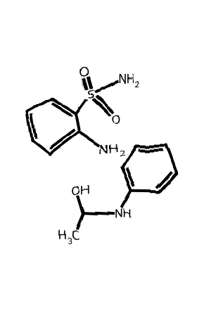 CC(O)Nc1ccccc1.Nc1ccccc1S(N)(=O)=O